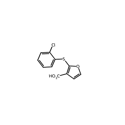 O=C(O)c1ccoc1Sc1ccccc1Cl